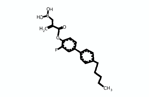 C=C(CB(O)O)C(=O)Oc1ccc(-c2ccc(CCCCC)cc2)cc1F